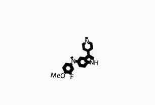 COc1ccc(N(C)c2ccc3[nH]cc(C4CCN(C)CC4)c3c2)cc1F